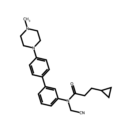 CN1CCN(c2ccc(-c3cccc(N(CC#N)C(=O)CCC4CC4)c3)cc2)CC1